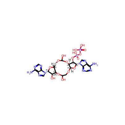 Nc1ncnc2c1ncn2[C@@H]1O[C@@H]2COC(O)O[C@@H]3[C@H](OCC(O)O[C@H]2[C@H]1O)O[C@@H](n1cnc2c(N)ncnc21)[C@@H]3OP(=O)(O)OP(=O)(O)O